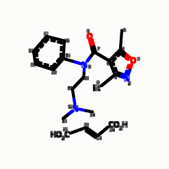 CCc1noc(C)c1C(=O)N(CCN(C)C)c1ccccc1.O=C(O)C=CC(=O)O